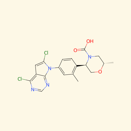 Cc1cc(-n2c(Cl)cc3c(Cl)ncnc32)ccc1[C@@H]1CO[C@@H](C)CN1C(=O)O